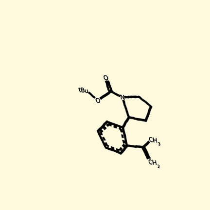 C=C(C)c1ccccc1C1CCCN1C(=O)OC(C)(C)C